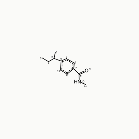 CCC(C)c1ccc(C(=O)NC)cc1